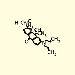 C=CCN(CC=C)c1ccc2c(c1)[Si](C)(C)c1cc(N(C)C)ccc1C2=O